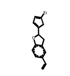 C=Cc1ccc2c(c1)CC(C1=CC=C(CC)C1)O2